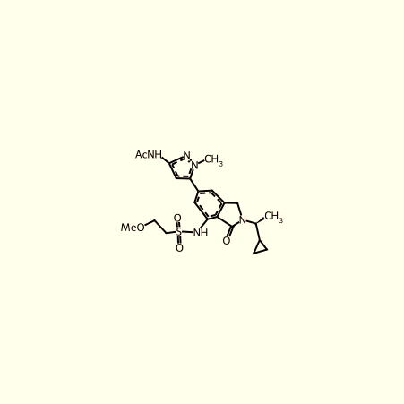 COCCS(=O)(=O)Nc1cc(-c2cc(NC(C)=O)nn2C)cc2c1C(=O)N([C@@H](C)C1CC1)C2